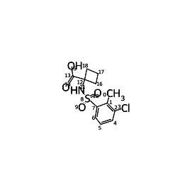 Cc1c(Cl)cccc1S(=O)(=O)NC1(C(=O)O)CCC1